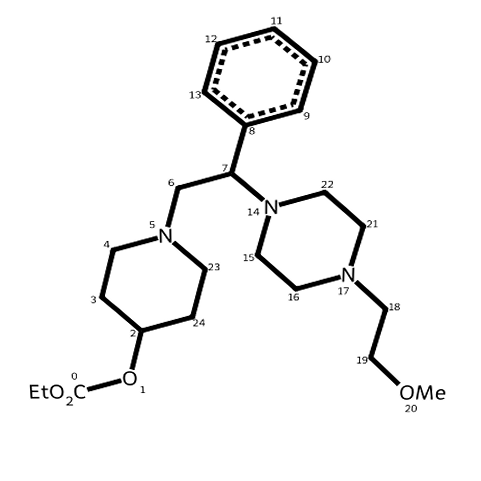 CCOC(=O)OC1CCN(CC(c2ccccc2)N2CCN(CCOC)CC2)CC1